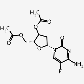 CC(=O)OC[C@H]1O[C@@H](n2cc(F)c(N)nc2=O)CC1OC(C)=O